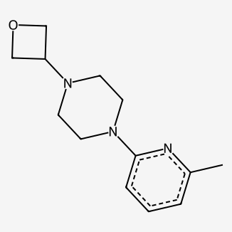 Cc1cccc(N2CCN(C3COC3)CC2)n1